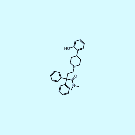 CN(C)C(=O)C(CCN1CCC(c2ccccc2O)CC1)(c1ccccc1)c1ccccc1